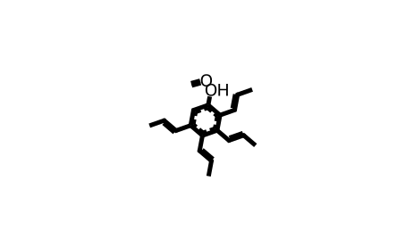 C=O.CC=Cc1cc(O)c(C=CC)c(C=CC)c1C=CC